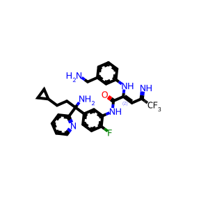 N=C(/C=C(\Nc1cccc(CN)c1)C(=O)Nc1cc(C(N)(CCC2CC2)c2ccccn2)ccc1F)C(F)(F)F